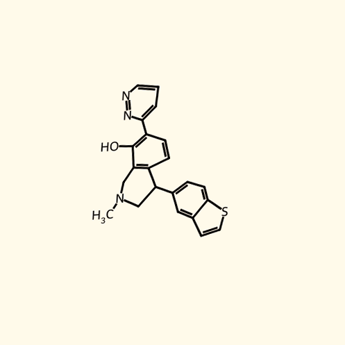 CN1Cc2c(ccc(-c3cccnn3)c2O)C(c2ccc3sccc3c2)C1